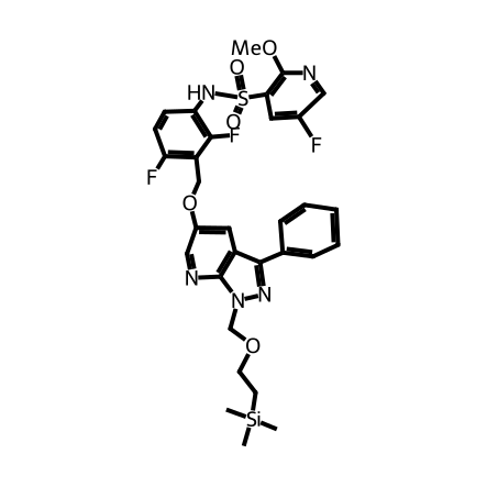 COc1ncc(F)cc1S(=O)(=O)Nc1ccc(F)c(COc2cnc3c(c2)c(-c2ccccc2)nn3COCC[Si](C)(C)C)c1F